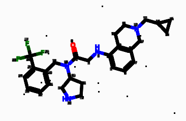 O=C(CNc1cccc2c1CCN(CC1CC1)C2)N(Cc1ccccc1C(F)(F)F)C1CCNC1